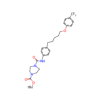 CC(C)(C)OC(=O)N1CCN(C(=O)Nc2ccc(CCCCCOc3ccc(C(F)(F)F)cc3)cc2)CC1